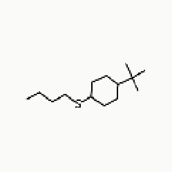 CCCCSC1CCC(C(C)(C)C)CC1